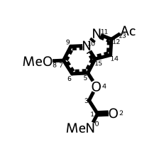 CNC(=O)COc1cc(OC)cn2nc(C(C)=O)cc12